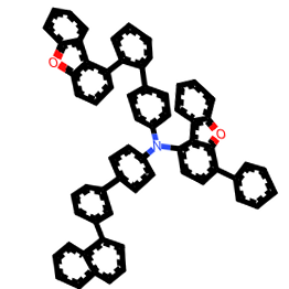 c1ccc(-c2ccc(N(c3ccc(-c4cccc(-c5cccc6ccccc56)c4)cc3)c3ccc(-c4ccccc4-c4cccc5oc6ccccc6c45)cc3)c3c2oc2ccccc23)cc1